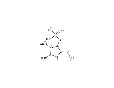 BC1OC(CO)C(OP(C)(=O)S)C1OC